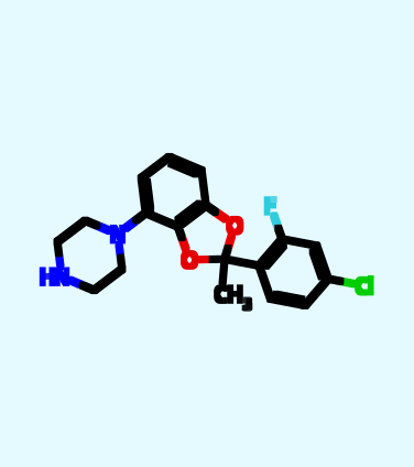 CC1(c2ccc(Cl)cc2F)Oc2cccc(N3CCNCC3)c2O1